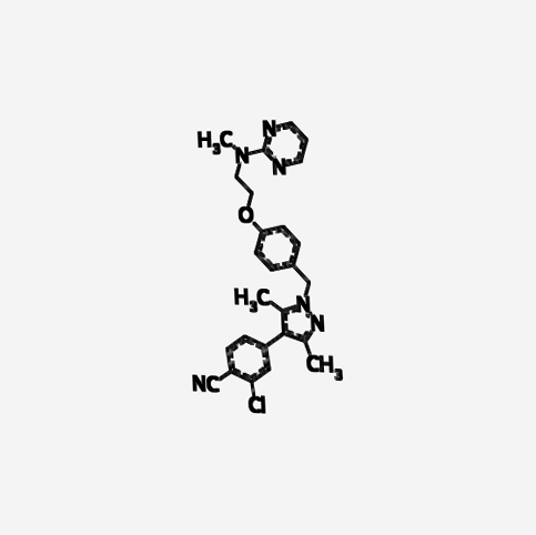 Cc1nn(Cc2ccc(OCCN(C)c3ncccn3)cc2)c(C)c1-c1ccc(C#N)c(Cl)c1